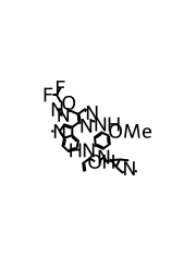 C=CC(O)Nc1cc(Nc2ncc(-c3nnc(C(F)F)o3)c(-c3cn(C)c4ccccc34)n2)c(OC)cc1N(C)C1C2CN(C)CC21